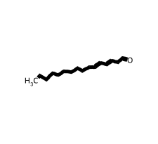 CCCCCCCCCCC=CC=CCC=O